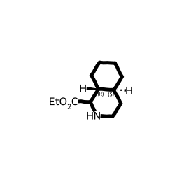 CCOC(=O)C1NCC[C@@H]2CCCC[C@@H]12